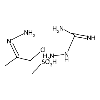 CC(CCl)=NN.CS(=O)(=O)O.N=C(N)NN